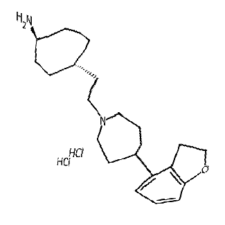 Cl.Cl.N[C@H]1CC[C@H](CCN2CCC(c3cccc4c3CCO4)CC2)CC1